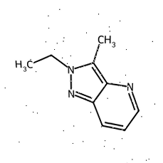 CCn1nc2cccnc2c1C